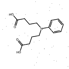 O=C(O)CCCN(CCCC(=O)O)c1ccccc1